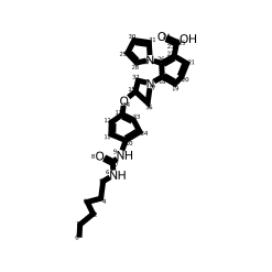 CCCCCCNC(=O)Nc1ccc(OC2CN(c3cccc(C(=O)O)c3-n3cccc3)C2)cc1